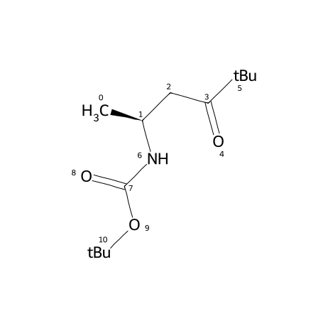 C[C@@H](CC(=O)C(C)(C)C)NC(=O)OC(C)(C)C